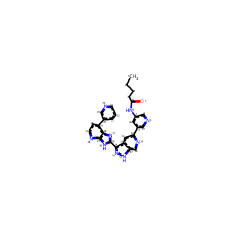 CCCCC(=O)Nc1cncc(-c2cc3c(-c4nc5c(-c6cccnc6)ccnc5[nH]4)n[nH]c3cn2)c1